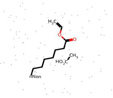 C=COC(=O)CCCCCCCCCCCCCCC.CC(=O)O